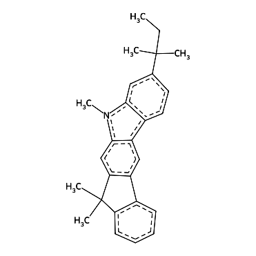 CCC(C)(C)c1ccc2c3cc4c(cc3n(C)c2c1)C(C)(C)c1ccccc1-4